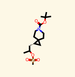 CC(C[C@H]1CC12CCN(C(=O)OC(C)(C)C)CC2)OS(C)(=O)=O